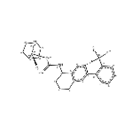 O=C(NC1CCCc2cc(-c3ccccc3C(F)(F)F)ccc21)O[C@H]1CN2CCC1CC2